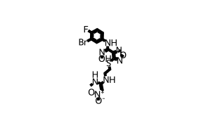 CN/C(=C\[N+](=O)[O-])NCCSc1nonc1C(=NO)Nc1ccc(F)c(Br)c1